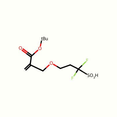 C=C(COCCC(F)(F)S(=O)(=O)O)C(=O)OC(C)(C)C